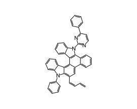 C=C/C=C\c1cc2c3ccccc3c3c(c4ccccc4n3-c3nccc(-c4ccccc4)n3)c2c2c3ccccc3n(-c3ccccc3)c12